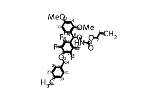 C=CCOC(=O)NOC(c1ccc(OC)cc1OC)c1c(F)c(F)c(OCc2ccc(C)cc2)c(F)c1F